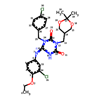 CCOc1ccc(/N=c2\[nH]c(=O)n(CC3COC(C)(C)OC3)c(=O)n2Cc2ccc(Cl)cc2)cc1Cl